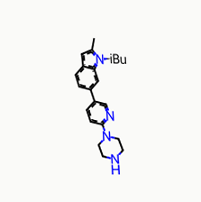 CC[C@H](C)n1c(C)cc2ccc(-c3ccc(N4CCNCC4)nc3)cc21